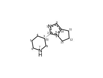 c1nc([C@H]2CCCNC2)n2c1CCC2